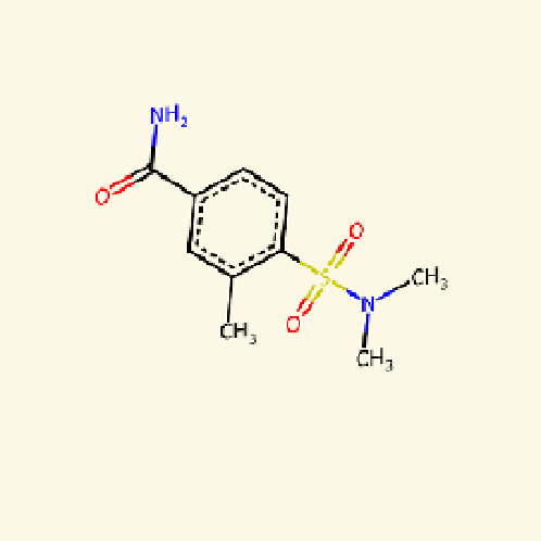 Cc1cc(C(N)=O)ccc1S(=O)(=O)N(C)C